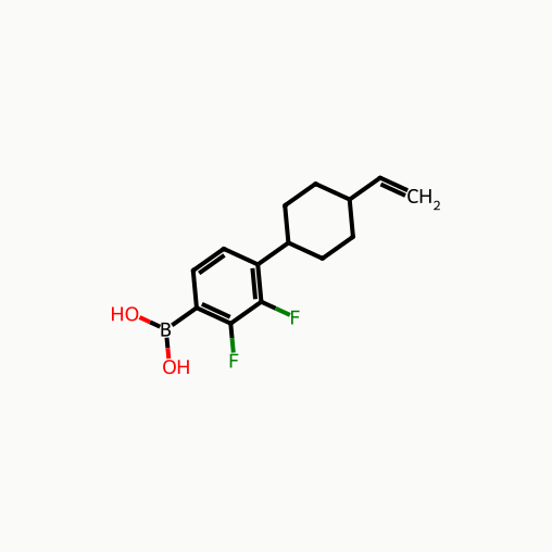 C=CC1CCC(c2ccc(B(O)O)c(F)c2F)CC1